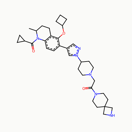 CC1CCc2c(ccc(-c3cnn(C4CCN(CC(=O)N5CCC6(CC5)CNC6)CC4)c3)c2OC2CCC2)N1C(=O)C1CC1